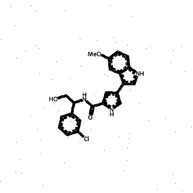 COc1ccc2[nH]cc(-c3c[nH]c(C(=O)NC(CO)c4cccc(Cl)c4)c3)c2c1